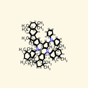 CC1(C)CCC(C)(C)c2cc(N3B4c5cc6c(cc5N(c5ccc7c(c5)C(C)(C)CCC7(C)C)c5cc(N(c7ccccc7)c7ccccc7)cc(c54)-c4cc5c(cc43)C(C)(C)c3cc4c(cc3-5)C(C)(C)CCC4(C)C)C(C)(C)CCC6(C)C)ccc21